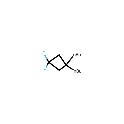 CCCCC1(CCCC)CC(F)(F)C1